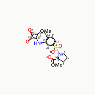 COC(=O)[C@@H]1CCCN1S(=O)(=O)c1ccc(Cl)c(Nc2c(OC)c(=O)c2=O)c1